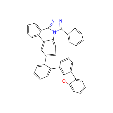 c1ccc(-c2nnc3c4ccccc4c4cc(-c5ccccc5-c5cccc6c5oc5ccccc56)ccc4n23)cc1